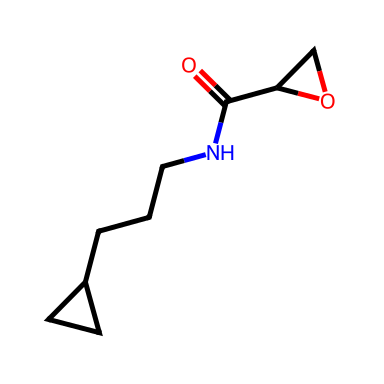 O=C(NCCCC1CC1)C1CO1